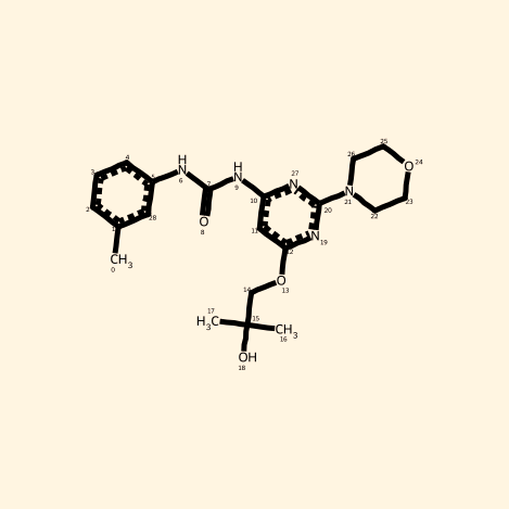 Cc1cccc(NC(=O)Nc2cc(OCC(C)(C)O)nc(N3CCOCC3)n2)c1